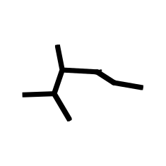 CC[C]C(C)C(C)C